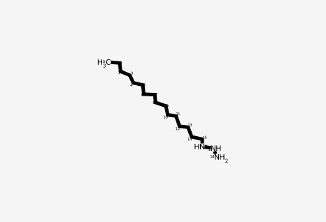 CCCCCCCCCCCCCCCCNNN